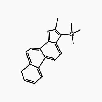 CC1=C([Si](C)(C)C)c2ccc3c4c(ccc3c2=C1)CC=CC=4